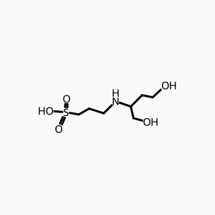 O=S(=O)(O)CCCNC(CO)CCO